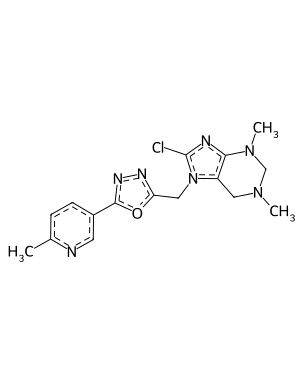 Cc1ccc(-c2nnc(Cn3c(Cl)nc4c3CN(C)CN4C)o2)cn1